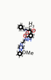 COc1ccccc1N1CCN(CCCNC(=O)c2cccc3c(=O)c(C)c(/C=C/c4ccccc4)oc23)CC1